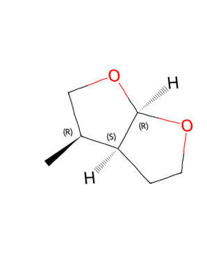 C[C@H]1CO[C@H]2OCC[C@H]21